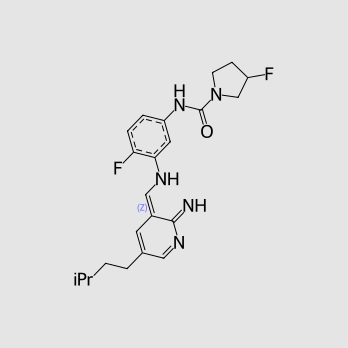 CC(C)CCC1=C/C(=C/Nc2cc(NC(=O)N3CCC(F)C3)ccc2F)C(=N)N=C1